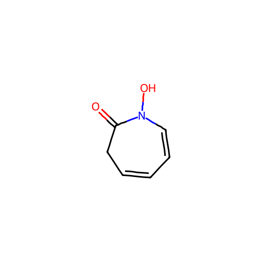 O=C1CC=CC=CN1O